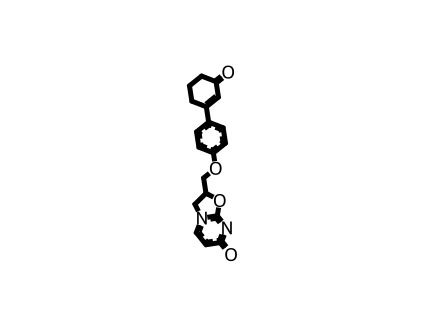 O=C1C=C(c2ccc(OCC3Cn4ccc(=O)nc4O3)cc2)CCC1